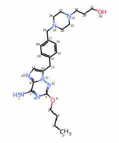 CCCCOc1nc(N)c2ncc(Cc3ccc(CN4CCN(CCCO)CC4)cc3)n2n1